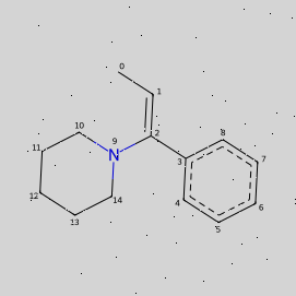 CC=C(c1ccccc1)N1CCCCC1